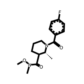 CON(C)C(=O)C1CCCN(C(=O)c2ccc(F)cc2)[C@@H]1C